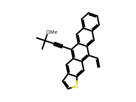 C=Cc1c2cc3ccccc3cc2c(C#CC(C)(C)OC)c2cc3ccsc3cc12